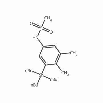 CCC[CH2][Sn]([CH2]CCC)([CH2]CCC)[c]1cc(NS(C)(=O)=O)cc(C)c1C